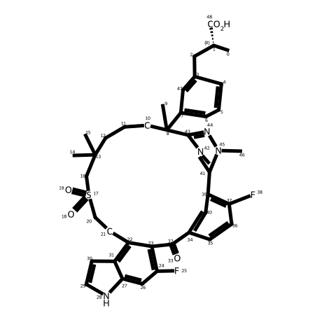 C[C@H](Cc1cccc(C2(C)CCCC(C)(C)CS(=O)(=O)CCc3c(c(F)cc4[nH]ccc34)C(=O)c3ccc(F)c(c3)-c3nc2nn3C)c1)C(=O)O